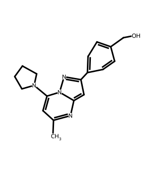 Cc1cc(N2CCCC2)n2nc(-c3ccc(CO)cc3)cc2n1